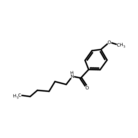 CCCCCCNC(=O)c1ccc(OC)cc1